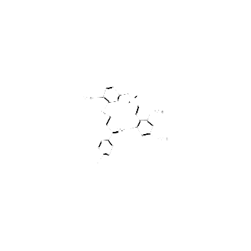 COc1cc(OC)c(C=CS(=O)(=O)Cc2ccc(OC)c(NC=CC(=O)c3ccc(Br)cc3)c2)c(OC)c1